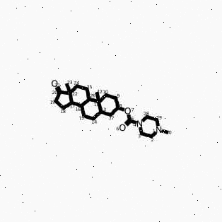 CN1CCN(C(=O)OC2CCC3(C)C(CCC4C5CCC(=O)C5(C)CCC43)C2)CC1